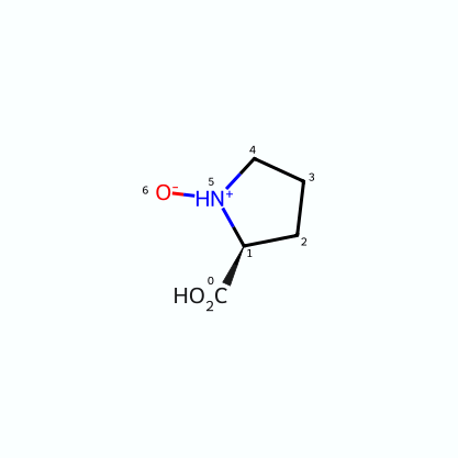 O=C(O)[C@@H]1CCC[NH+]1[O-]